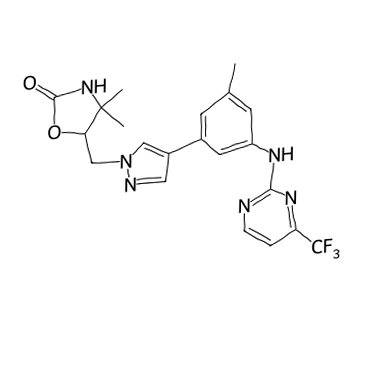 Cc1cc(Nc2nccc(C(F)(F)F)n2)cc(-c2cnn(CC3OC(=O)NC3(C)C)c2)c1